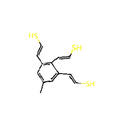 Cc1cc(C=CS)c(C=CS)c(C=CS)c1